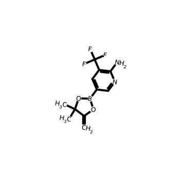 C=C1OB(c2cnc(N)c(C(F)(F)F)c2)OC1(C)C